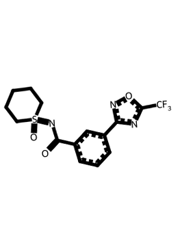 O=C(N=S1(=O)CCCCC1)c1cccc(-c2noc(C(F)(F)F)n2)c1